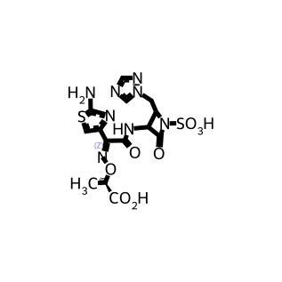 C[C@@H](O/N=C(\C(=O)NC1C(=O)N(S(=O)(=O)O)C1Cn1cncn1)c1csc(N)n1)C(=O)O